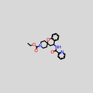 CCOC(=O)N1CCC2(CC1)CC(NC(=O)c1ccccn1)c1ccccc1O2